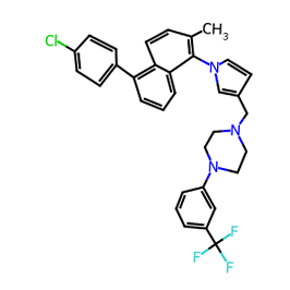 Cc1ccc2c(-c3ccc(Cl)cc3)cccc2c1-n1ccc(CN2CCN(c3cccc(C(F)(F)F)c3)CC2)c1